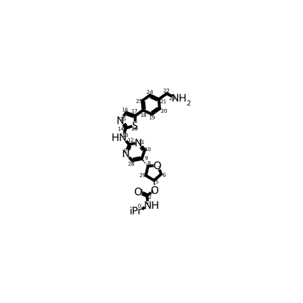 CC(C)NC(=O)O[C@H]1CO[C@@H](c2cnc(Nc3ncc(-c4ccc(CN)cc4)s3)nc2)C1